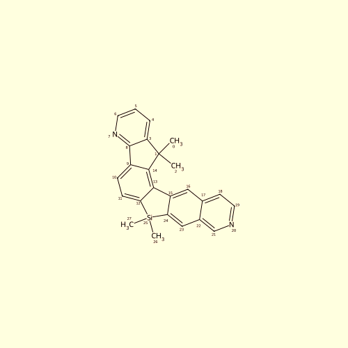 CC1(C)c2cccnc2-c2ccc3c(c21)-c1cc2ccncc2cc1[Si]3(C)C